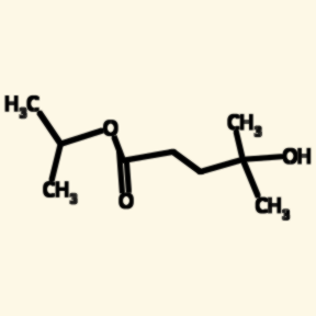 CC(C)OC(=O)CCC(C)(C)O